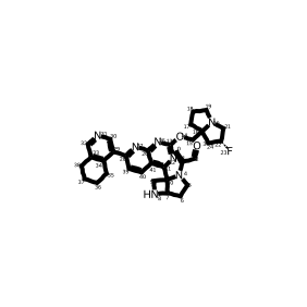 C=C(C=O)N1CCC2NCC21c1nc(OCC23CCCN2C[C@H](F)C3)nc2nc(-c3cncc4c3CCCC4)ccc12